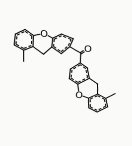 Cc1cccc2c1Cc1cc(C(=O)c3ccc4c(c3)Cc3c(C)cccc3O4)ccc1O2